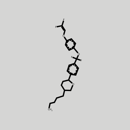 CCCCCC1CCC(c2ccc(C(F)(F)Oc3ccc(OC=C(F)F)cc3)cc2)OC1